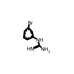 N=C(N)Nc1cccc(Br)c1